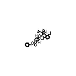 O=C(OCc1ccccc1)N1C[C@@H]2C[C@H]1C[C@H]2OCc1c(-c2c(Cl)cccc2Cl)noc1C1CC1